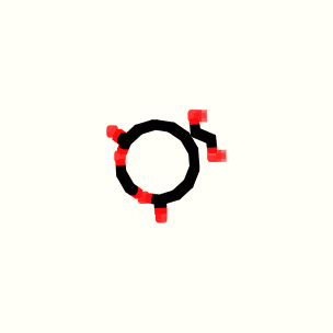 O=C1CCCCCCCCC(=O)OCCO1.OCCO